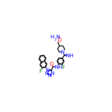 N=C(c1ccc(NC(=O)c2nnnn2-c2cc3ccccc3cc2F)c(F)c1)N1CCC(CON)CC1